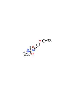 CNC(=O)c1c(NC(=O)Cc2ccc(Oc3ccc([N+](=O)[O-])cc3)cc2)c(C)nn1C